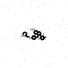 O=C(c1ccc(OCCC2CCCCN2)cc1)c1c(-c2cccc(F)c2F)ccc2cc(O)ccc12